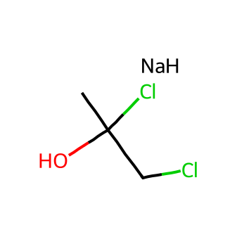 CC(O)(Cl)CCl.[NaH]